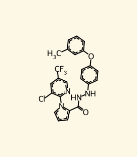 Cc1cccc(Oc2ccc(NNC(=O)c3cccn3-c3ncc(C(F)(F)F)cc3Cl)cc2)c1